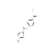 C=C(OCC)c1ccc(NC(=O)c2ccc(C(C)(C)C)cc2)cc1